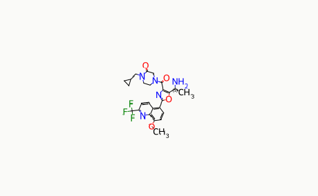 COc1ccc(-c2nc(C(=O)N3CCN(CC4CC4)C(=O)C3)c([C@H](C)N)o2)c2ccc(C(F)(F)F)nc12